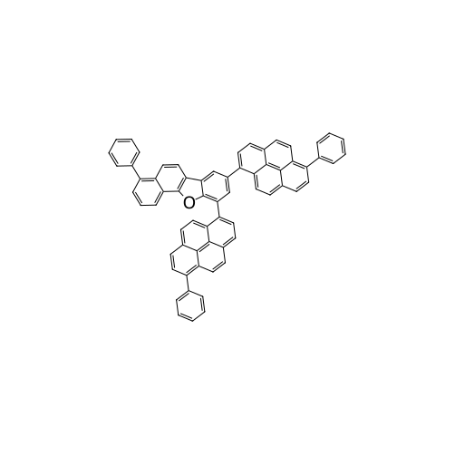 c1ccc(-c2cccc3c2ccc2c4cc(-c5ccc6ccc7c(-c8ccccc8)ccc8ccc5c6c87)cc(-c5ccc6ccc7c(-c8ccccc8)ccc8ccc5c6c87)c4oc32)cc1